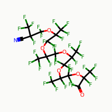 N#CC(F)(C(F)(F)F)C(F)(F)OC(F)(C(F)(F)F)C(F)(F)OC(F)(C(F)(F)F)C(F)(F)OC(F)(C(F)(F)F)C(F)(F)OC(F)(C(F)(F)F)C(F)(F)OC(F)(C(=O)F)C(F)(F)F